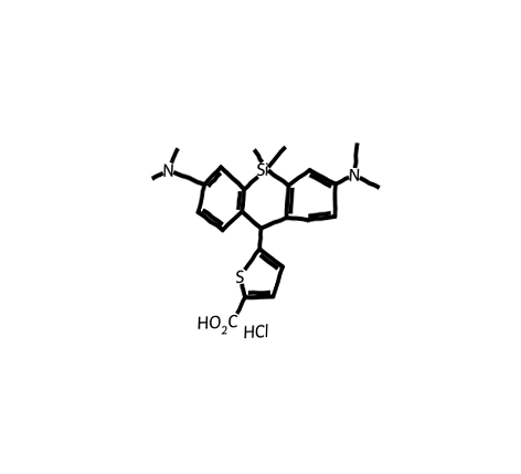 CN(C)c1ccc2c(c1)[Si](C)(C)c1cc(N(C)C)ccc1C2c1ccc(C(=O)O)s1.Cl